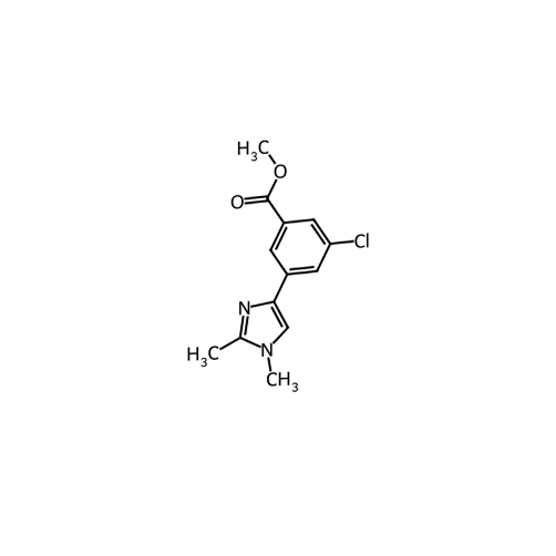 COC(=O)c1cc(Cl)cc(-c2cn(C)c(C)n2)c1